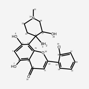 BC1(c2c(O)cc(O)c3c(=O)cc(-c4ccccc4Cl)oc23)CCN(C)CC1O